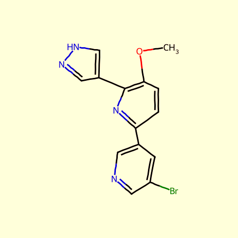 COc1ccc(-c2cncc(Br)c2)nc1-c1cn[nH]c1